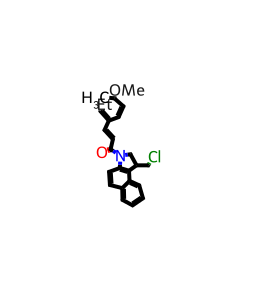 CC/C=C(\C=C/C(C)OC)/C=C/C(=O)N1CC(CCl)c2c1ccc1ccccc21